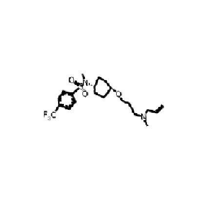 C=CCN(C)CCCO[C@H]1CC[C@H](N(C)S(=O)(=O)c2ccc(C(F)(F)F)cc2)CC1